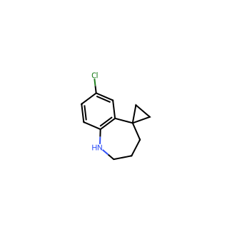 Clc1ccc2c(c1)C1(CCCN2)CC1